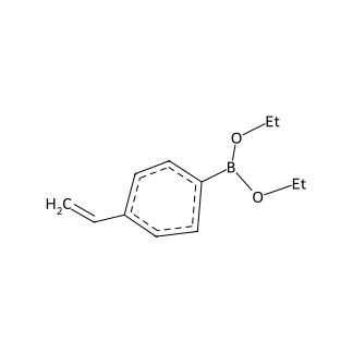 C=Cc1ccc(B(OCC)OCC)cc1